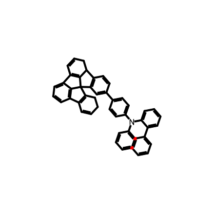 C1=CC2=C(CC1)C13C4=C(C=CCC4c4ccc(-c5ccc(N(c6ccccc6)c6ccccc6-c6ccccc6)cc5)cc41)c1cccc2c13